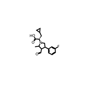 CC1C(C=O)C(c2cccc(F)c2)CN1[C@H](CC1CC1)C(=O)O